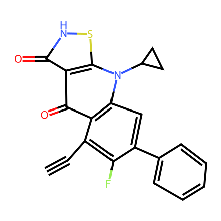 C#Cc1c(F)c(-c2ccccc2)cc2c1c(=O)c1c(=O)[nH]sc1n2C1CC1